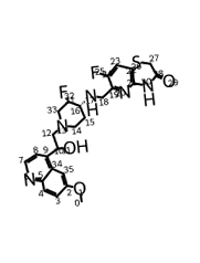 COc1ccc2nccc(C(O)CN3CC[C@@H](NCc4nc5c(cc4F)SCC(=O)N5)[C@@H](F)C3)c2c1